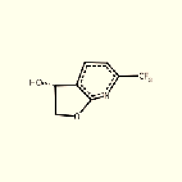 O[C@H]1COc2nc(C(F)(F)F)ccc21